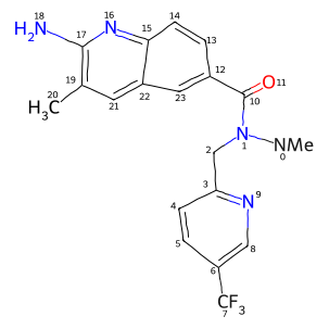 CNN(Cc1ccc(C(F)(F)F)cn1)C(=O)c1ccc2nc(N)c(C)cc2c1